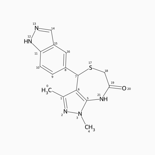 Cc1nn(C)c2c1C(c1ccc3[nH]ncc3c1)SCC(=O)N2